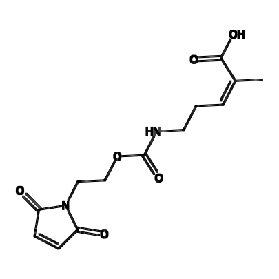 CC(=CCCNC(=O)OCCN1C(=O)C=CC1=O)C(=O)O